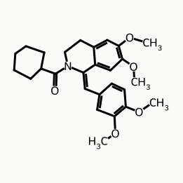 COc1ccc(C=C2c3cc(OC)c(OC)cc3CCN2C(=O)C2CCCCC2)cc1OC